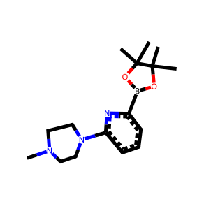 CN1CCN(c2cccc(B3OC(C)(C)C(C)(C)O3)n2)CC1